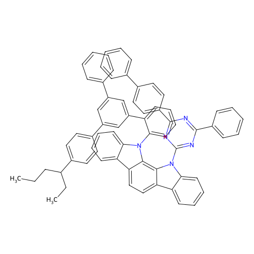 CCCC(CC)c1ccc(-c2cc(-c3ccccc3)cc(-c3ccccc3-n3c4ccccc4c4ccc5c6ccccc6n(-c6nc(-c7ccccc7)nc(-c7ccc(-c8ccccc8)cc7)n6)c5c43)c2)cc1